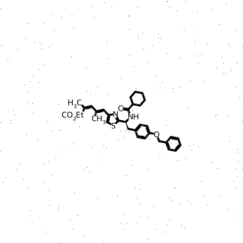 CCOC(=O)/C(C)=C\C(C)=C\c1csc([C@H](Cc2ccc(OCc3ccccc3)cc2)NC(=O)C2CCCCC2)n1